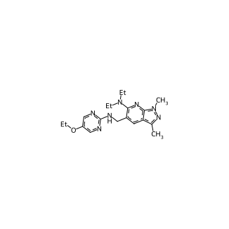 CCOc1cnc(NCc2cc3c(C)nn(C)c3nc2N(CC)CC)nc1